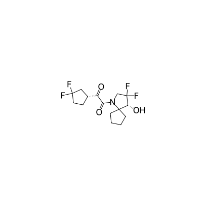 O=C(C(=O)N1CC(F)(F)[C@H](O)C12CCCC2)[C@@H]1CCC(F)(F)C1